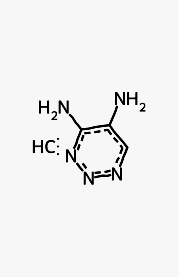 Nc1cnnnc1N.[CH]